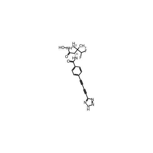 CC(N)(C(F)F)[C@H](NC(=O)c1ccc(C#CC#Cc2nn[nH]n2)cc1)C(=O)NO